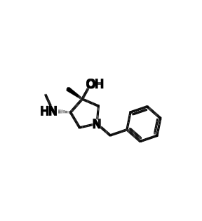 CN[C@H]1CN(Cc2ccccc2)C[C@@]1(C)O